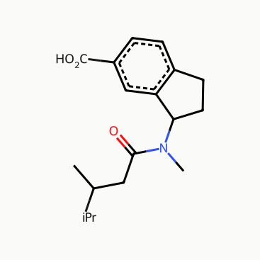 CC(C)C(C)CC(=O)N(C)C1CCc2ccc(C(=O)O)cc21